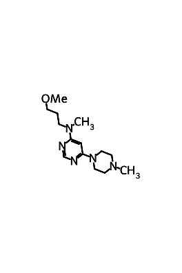 COCCCN(C)c1cc(N2CCN(C)CC2)ncn1